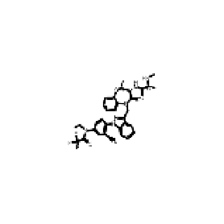 CCN(C(=O)C(F)(F)F)c1ccc(-n2nc(CN3C(=O)[C@@H](NC(=O)[C@H](C)NC)[C@H](C)Oc4ccccc43)c3ccccc32)c(C#N)c1